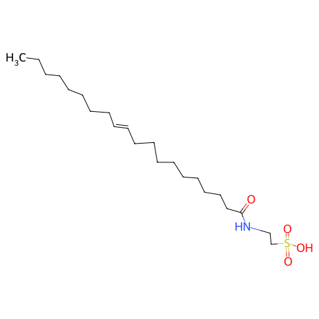 CCCCCCCCC=CCCCCCCCCCC(=O)NCCS(=O)(=O)O